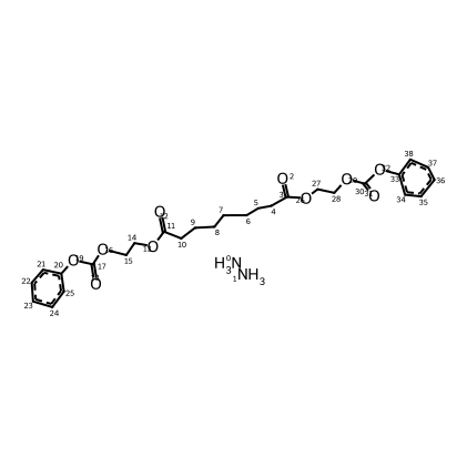 N.N.O=C(CCCCCCCC(=O)OCCOC(=O)Oc1ccccc1)OCCOC(=O)Oc1ccccc1